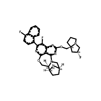 Fc1ccc(-c2nc3c4c(nc(OC[C@@]56CCCN5C[C@H](F)C6)nc4c2F)N2C[C@H]4CC[C@H](N4)[C@H]2CO3)c2ccccc12